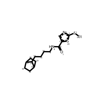 CCSc1ncc(C(=O)NCCCCC2C3CCC2CC3)s1